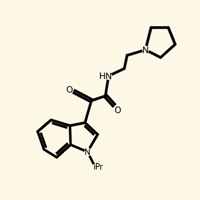 CC(C)n1cc(C(=O)C(=O)NCCN2CCCC2)c2ccccc21